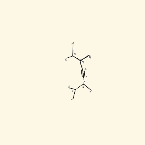 CC(C)C(C)C#CC(C)C(C)C